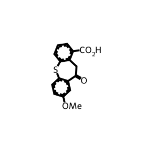 COc1ccc2c(c1)C(=O)Cc1c(cccc1C(=O)O)S2